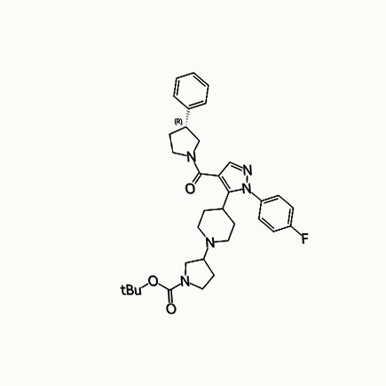 CC(C)(C)OC(=O)N1CCC(N2CCC(c3c(C(=O)N4CC[C@H](c5ccccc5)C4)cnn3-c3ccc(F)cc3)CC2)C1